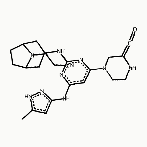 Cc1cc(Nc2cc(N3CCNC(=C=O)C3)nc(NC3CC4CCC(C3)N4CCC#N)n2)n[nH]1